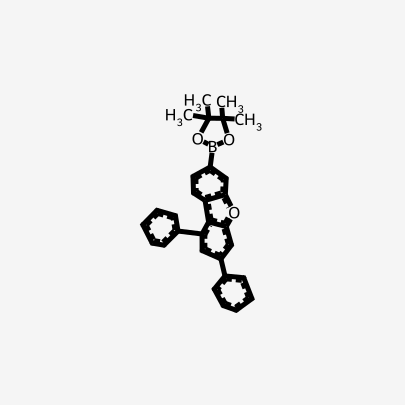 CC1(C)OB(c2ccc3c(c2)oc2cc(-c4ccccc4)cc(-c4ccccc4)c23)OC1(C)C